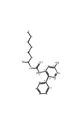 CCCCCCC(C)OC(=S)Nc1cc(Cl)nnc1-c1ccccc1